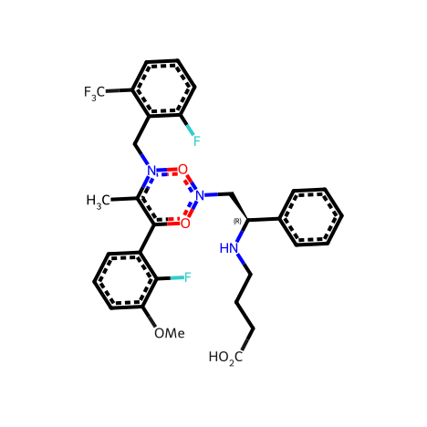 COc1cccc(-c2on(C[C@H](NCCCC(=O)O)c3ccccc3)on(Cc3c(F)cccc3C(F)(F)F)c2C)c1F